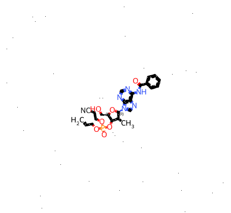 C=CCOP(=O)(OCCC#N)OC1C(C)[C@H](n2cnc3c(NC(=O)c4ccccc4)ncnc32)O[C@@H]1CO